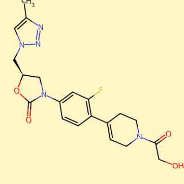 Cc1cn(C[C@H]2CN(c3ccc(C4=CCN(C(=O)CO)CC4)c(F)c3)C(=O)O2)nn1